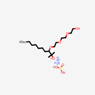 CCCCCCCCCCCCCCCCC(OCCOCCOCCO)C(C)(C)O.N.N.O=S(O)O